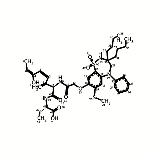 C=C(/C=C\C(O)=C/C)[C@@H](NC(=O)COc1cc2c(cc1SC)N(c1ccccc1)CC(CCCC)(CCCC)NS2(=O)=O)C(=O)N[C@@H](CC)C(=O)O